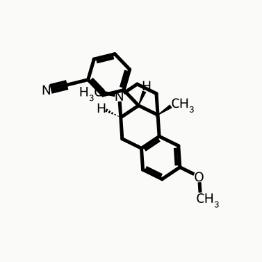 COc1ccc2c(c1)[C@@]1(C)CCN(C)[C@H](C2)[C@@H]1c1cccc(C#N)c1